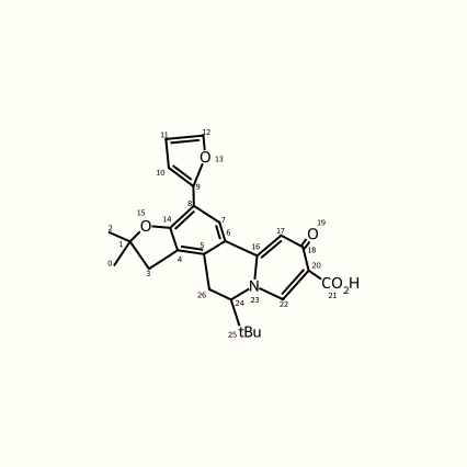 CC1(C)Cc2c3c(cc(-c4ccco4)c2O1)-c1cc(=O)c(C(=O)O)cn1C(C(C)(C)C)C3